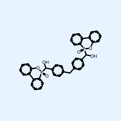 O=P1(C(O)c2ccc(Cc3ccc(C(O)P4(=O)Oc5ccccc5-c5ccccc54)cc3)cc2)Oc2ccccc2-c2ccccc21